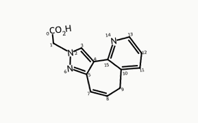 O=C(O)Cn1cc2c(n1)C=CCc1cccnc1-2